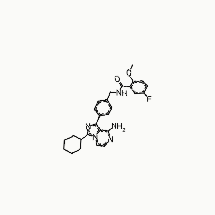 COc1ccc(F)cc1C(=O)NCc1ccc(-c2nc(C3CCCCC3)n3ccnc(N)c23)cc1